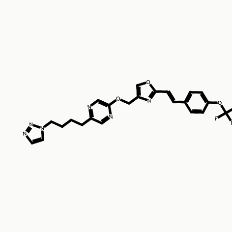 FC(F)(F)Oc1ccc(C=Cc2nc(COc3cnc(CCCCn4ccnn4)cn3)co2)cc1